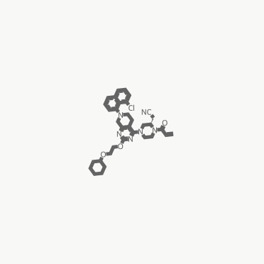 C=CC(=O)N1CCN(c2nc(OCCOC3CCCCC3)nc3c2CCN(c2cccc4cccc(Cl)c24)C3)C[C@@H]1CC#N